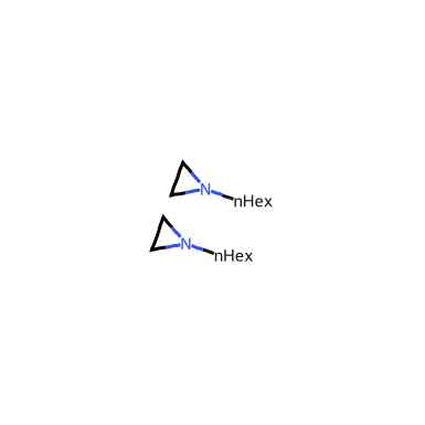 CCCCCCN1CC1.CCCCCCN1CC1